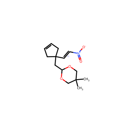 CC1(C)COC(CC2(/C=C/[N+](=O)[O-])CC=CC2)OC1